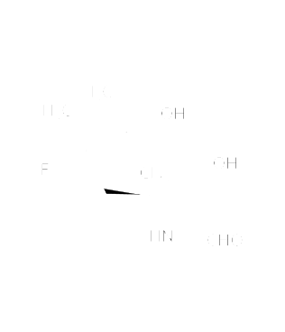 CC(C)(O)C(C)(F)C[C@@H](CO)NC=O